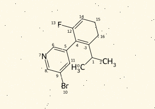 CC(C)C1=C(c2cncc(Br)c2)C(F)=CC[CH]1